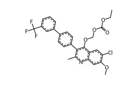 CCOC(=O)OCOc1c(-c2ccc(-c3cccc(C(F)(F)F)c3)cc2)c(C)nc2cc(OC)c(Cl)cc12